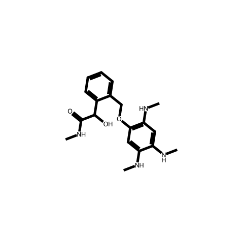 CNC(=O)C(O)c1ccccc1COc1cc(NC)c(NC)cc1NC